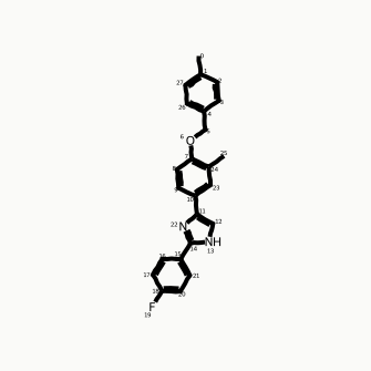 Cc1ccc(COc2ccc(-c3c[nH]c(-c4ccc(F)cc4)n3)cc2C)cc1